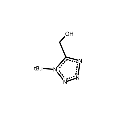 CC(C)(C)n1nnnc1CO